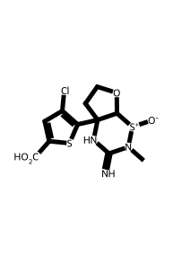 CN1C(=N)NC2(c3sc(C(=O)O)cc3Cl)CCOC2[S+]1[O-]